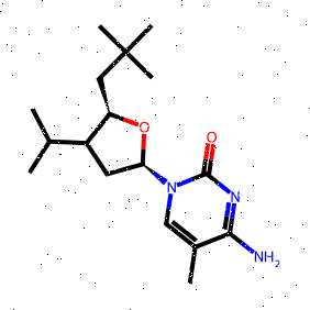 Cc1cn([C@H]2CC(C(C)C)[C@@H](CC(C)(C)C)O2)c(=O)nc1N